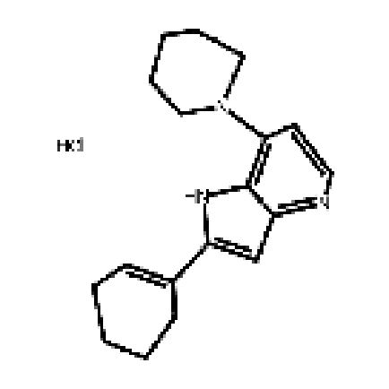 C1=C(c2cc3nccc(N4CCCCC4)c3[nH]2)CCCC1.Cl